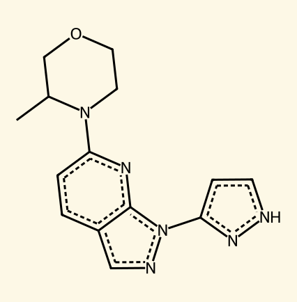 CC1COCCN1c1ccc2cnn(-c3cc[nH]n3)c2n1